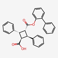 O=C(O)[C@H]1[C@H](c2ccccc2)[C@H](C(=O)Oc2ccccc2-c2ccccc2)[C@H]1c1ccccc1